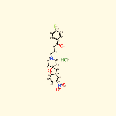 Cl.O=C(CCCN1CCC2(CC1)Cc1cc([N+](=O)[O-])ccc1O2)c1ccc(F)cc1